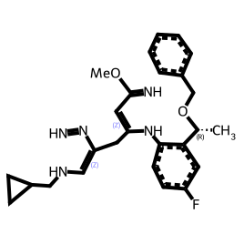 COC(=N)/C=C(/C/C(=C/NCC1CC1)N=N)Nc1ccc(F)cc1[C@@H](C)OCc1ccccc1